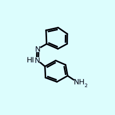 I.Nc1ccc(/N=N\c2ccccc2)cc1